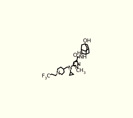 Cn1nc(C(=O)N[C@H]2C3CC4CC2C[C@](O)(C4)C3)cc1N(CC1CCN(CCC(F)(F)F)CC1)C1CC1